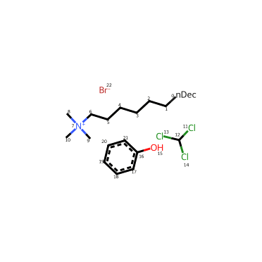 CCCCCCCCCCCCCCCC[N+](C)(C)C.ClC(Cl)Cl.Oc1ccccc1.[Br-]